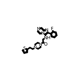 O=C(CNc1c(-c2ccccc2F)nc2cnccn12)N1CCN(CCc2cccs2)CC1